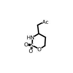 CC(=O)CC1CCOS(=O)(=O)N1